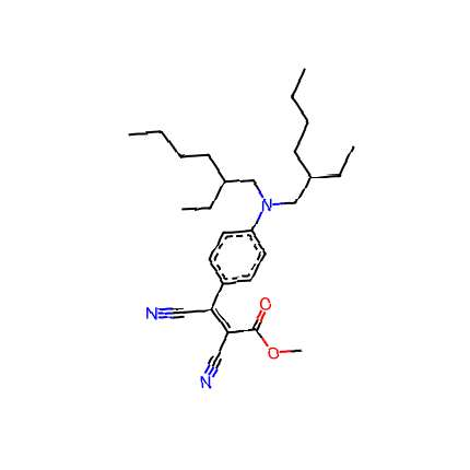 CCCCC(CC)CN(CC(CC)CCCC)c1ccc(/C(C#N)=C(/C#N)C(=O)OC)cc1